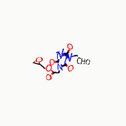 Cn1c(=O)n(CC=O)c(=O)n(CC(=O)OCC2CO2)c1=O